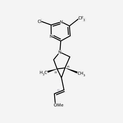 CO/C=C/C1[C@]2(C)CN(c3cc(C(F)(F)F)nc(Cl)n3)C[C@]12C